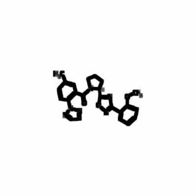 Cc1ccc(-n2nccn2)c(C(=O)N2CCC[C@H]2c2nc(-c3ccccc3OC(F)(F)F)no2)c1